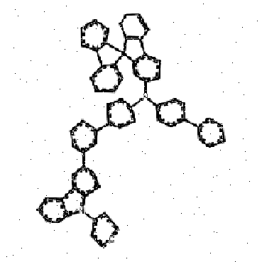 C1=CC2=C(CC1)C1(c3cc(N(c4ccc(-c5ccccc5)cc4)c4ccc(-c5cccc(-c6ccc7c(c6)c6ccccc6n7-c6ccccc6)c5)cc4)ccc32)c2ccccc2-c2ccccc21